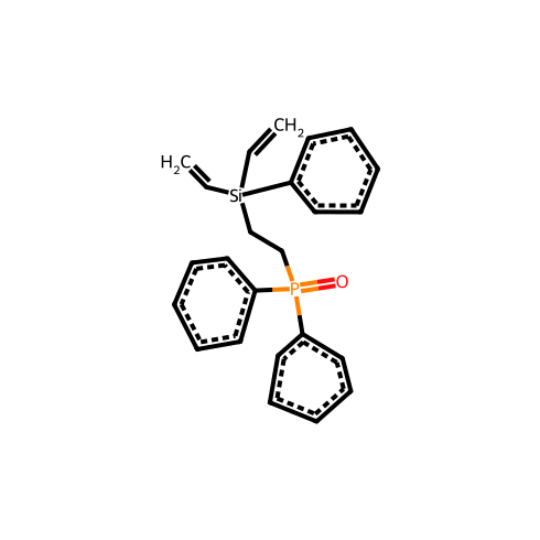 C=C[Si](C=C)(CCP(=O)(c1ccccc1)c1ccccc1)c1ccccc1